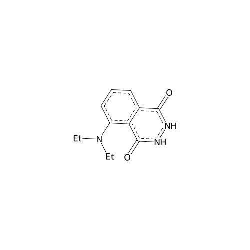 CCN(CC)c1cccc2c(=O)[nH][nH]c(=O)c12